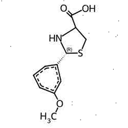 COc1cccc([C@@H]2NC(C(=O)O)CS2)c1